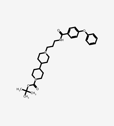 CC(C)(C)OC(=O)N1CCC(C2CCN(CCCNC(=O)c3ccc(Oc4ccccc4)cc3)CC2)CC1